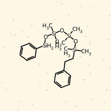 C[Si](C)(CCc1ccccc1)O[Si](C)(C)O[Si](C)(C)O[SiH2]c1ccccc1